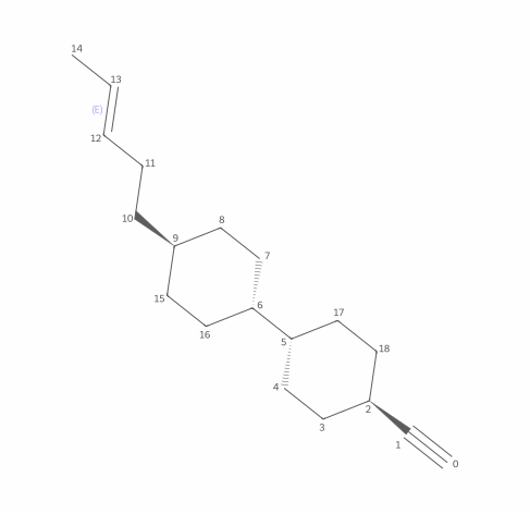 C#C[C@H]1CC[C@H]([C@H]2CC[C@H](CC/C=C/C)CC2)CC1